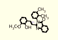 COc1cccc(/C=C/c2nc3ccccc3c(=O)n2-c2cccc(C)c2C)c1O